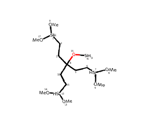 CO[SiH](CCC(CC[SiH](OC)OC)(CC[SiH](OC)OC)O[SiH3])OC